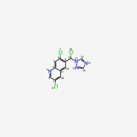 Clc1cnc2cc(Cl)c(C(Cl)n3cncn3)cc2c1